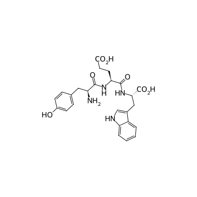 N[C@@H](Cc1ccc(O)cc1)C(=O)N[C@@H](CCC(=O)O)C(=O)N[C@@H](Cc1c[nH]c2ccccc12)C(=O)O